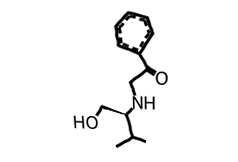 CC(C)[C@@H](CO)NCC(=O)c1ccccc1